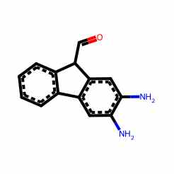 Nc1cc2c(cc1N)C(C=O)c1ccccc1-2